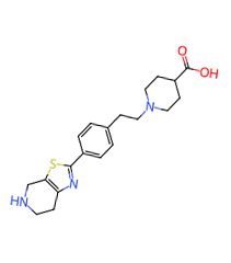 O=C(O)C1CCN(CCc2ccc(-c3nc4c(s3)CNCC4)cc2)CC1